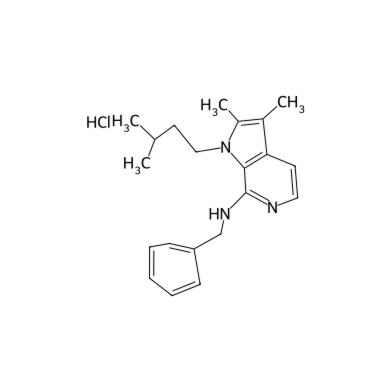 Cc1c(C)n(CCC(C)C)c2c(NCc3ccccc3)nccc12.Cl